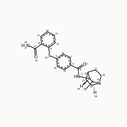 C[C@H]1[C@H](NC(=O)c2ccc(Sc3ccccc3C(N)=O)cc2)C2CCN1CC2